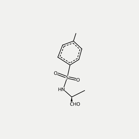 Cc1ccc(S(=O)(=O)N[C@@H](C)C=O)cc1